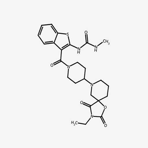 CCN1C(=O)OC2(CCCN(C3CCN(C(=O)c4c(NC(=O)NC)sc5ccccc45)CC3)C2)C1=O